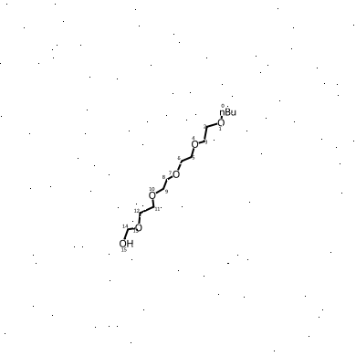 CCCCOCCOCCOCCOCCOCO